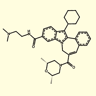 C[C@@H]1CN(C(=O)C2=Cc3ccccc3-c3c(C4CCCCC4)c4ccc(C(=O)NCCN(C)C)cc4n3C2)C[C@H](C)O1